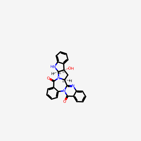 O=C1c2ccccc2-n2c(nc3ccccc3c2=O)[C@@H]2C[C@]3(O)c4ccccc4N[C@@H]3N12